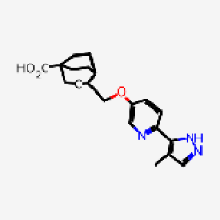 Cc1cn[nH]c1-c1ccc(OCC2CCC3(C(=O)O)CCC2CC3)cn1